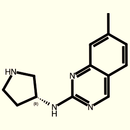 Cc1ccc2cnc(N[C@@H]3CCNC3)nc2c1